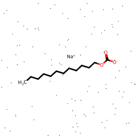 CCCCCCCCCCCCOC(=O)[O-].[Na+]